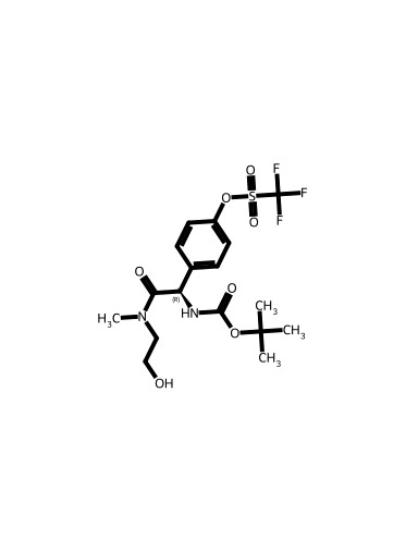 CN(CCO)C(=O)[C@H](NC(=O)OC(C)(C)C)c1ccc(OS(=O)(=O)C(F)(F)F)cc1